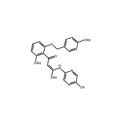 COc1ccc(COc2cccc(OC)c2C(=O)/C=C(\Nc2cnc(C#N)cn2)SC)cc1